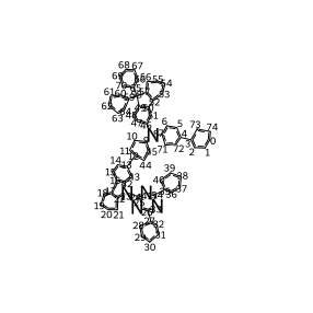 c1ccc(-c2ccc(N(c3ccc(-c4ccc5c6ccccc6n(-c6nc(-c7ccccc7)nc(-c7ccccc7)n6)c5c4)cc3)c3ccc4c(c3)-c3ccccc3C4(c3ccccc3)c3ccccc3)cc2)cc1